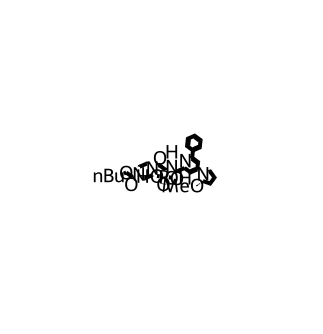 CCCCOC(=O)N1CCN(C(=O)[C@@H](NC(=O)c2cc(N3CCC[C@@H]3OC)cc(-c3ccccc3)n2)P(=O)(O)O)CC1